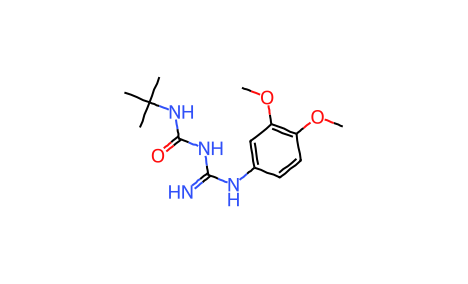 COc1ccc(NC(=N)NC(=O)NC(C)(C)C)cc1OC